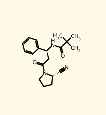 CC(C)(C)C(=O)N[C@@H](CC(=O)N1CCC[C@H]1C#N)c1ccccc1